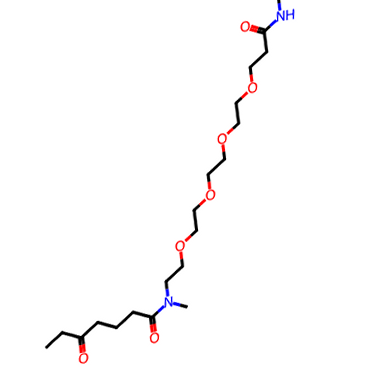 CCC(=O)CCCC(=O)N(C)CCOCCOCCOCCOCCC(=O)NC